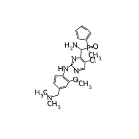 COc1cc(CN(C)C)ccc1Nc1ncc(Cl)c(C(N)P(C)(=O)c2ccccc2)n1